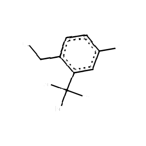 ClCc1ccc(Cl)cc1C(Br)(Br)Br